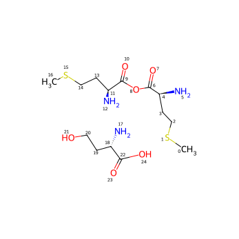 CSCC[C@H](N)C(=O)OC(=O)[C@@H](N)CCSC.N[C@@H](CCO)C(=O)O